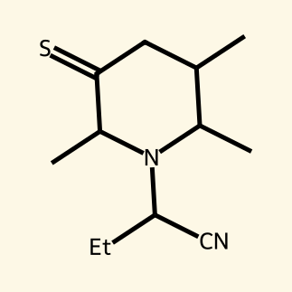 CCC(C#N)N1C(C)C(=S)CC(C)C1C